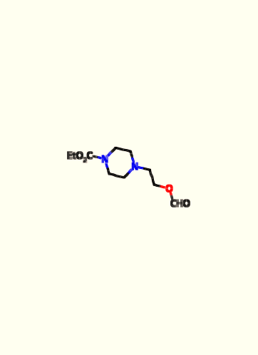 CCOC(=O)N1CCN(CCOC=O)CC1